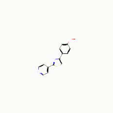 COc1ccc(-c2csc(-c3ccncc3)n2)cc1